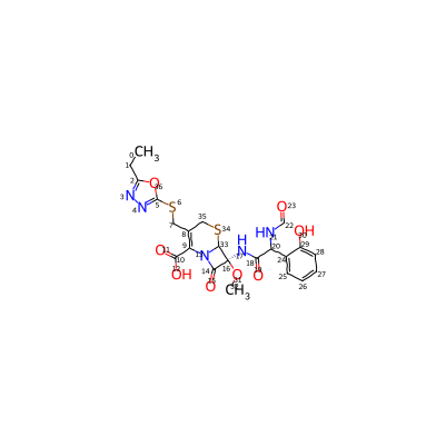 CCc1nnc(SCC2=C(C(=O)O)N3C(=O)[C@](NC(=O)C(NC=O)c4ccccc4O)(OC)C3SC2)o1